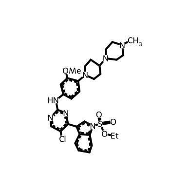 CCOS(=O)(=O)n1cc(-c2nc(Nc3ccc(N4CCC(N5CCN(C)CC5)CC4)c(OC)c3)ncc2Cl)c2ccccc21